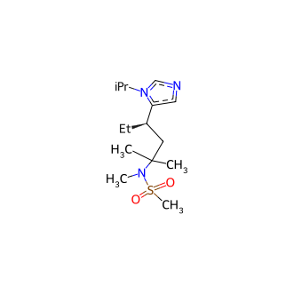 CC[C@H](CC(C)(C)N(C)S(C)(=O)=O)c1cncn1C(C)C